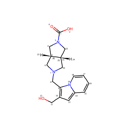 O=C(O)N1C[C@H]2CN(Cc3c(CO)cc4ccccn34)C[C@H]2C1